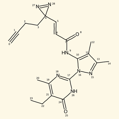 C#CCCC1(C=CC(=O)Nc2c(C)c(C)nn2-c2nc(C)c(CC)c(=O)[nH]2)N=N1